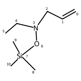 C=CCN(CC)O[Si](C)(C)C